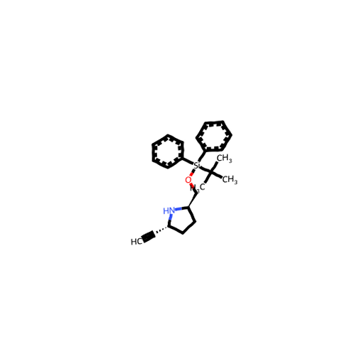 C#C[C@H]1CC[C@H](CO[Si](c2ccccc2)(c2ccccc2)C(C)(C)C)N1